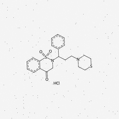 Cl.O=C1CN(C(CCN2CCSCC2)c2ccccc2)S(=O)(=O)c2ccccc21